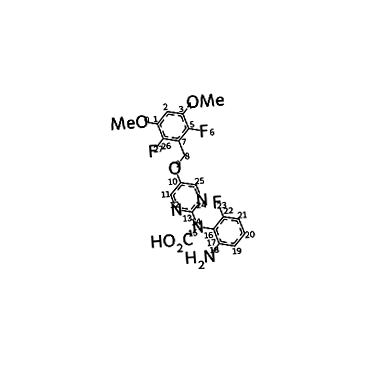 COc1cc(OC)c(F)c(COc2cnc(N(C(=O)O)c3c(N)cccc3F)nc2)c1F